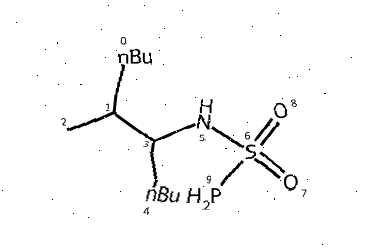 CCCCC(C)C(CCCC)NS(=O)(=O)P